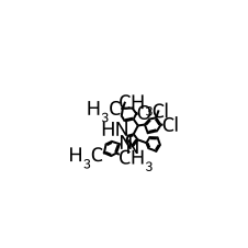 Cc1ccc(-n2nc(-c3ccccc3)c3c2NC2=C(C(=O)CC(C)(C)C2)C3c2ccc(Cl)c(Cl)c2)c(C)c1